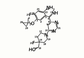 CC1(Oc2cc(C(=N)c3cc(N4CCC(F)(CO)CC4)ncn3)c(N)cc2F)CC1